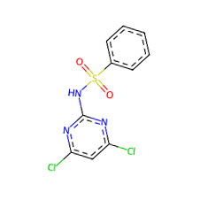 O=S(=O)(Nc1nc(Cl)cc(Cl)n1)c1ccccc1